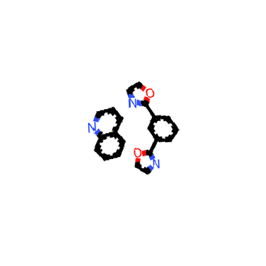 c1cc(-c2ncco2)cc(-c2ncco2)c1.c1ccc2ncccc2c1